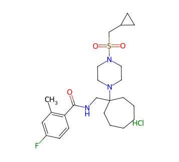 Cc1cc(F)ccc1C(=O)NCC1(N2CCN(S(=O)(=O)CC3CC3)CC2)CCCCCC1.Cl